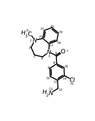 CN1CCCN(C(=O)c2ccc(CN)c(Cl)c2)c2ccccc21